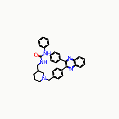 O=C(NCC1CCCN(Cc2ccc(-c3nc4ccccc4nc3-c3ccccc3)cc2)C1)Nc1ccccc1